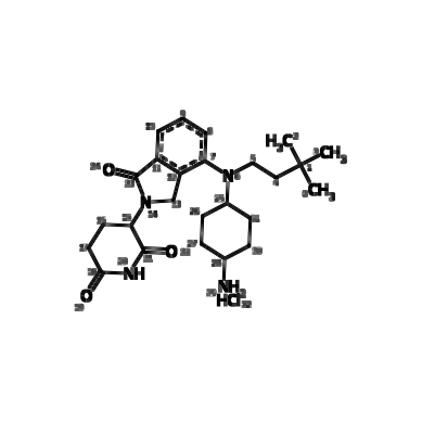 CC(C)(C)CCN(c1cccc2c1CN(C1CCC(=O)NC1=O)C2=O)C1CCC(N)CC1.Cl